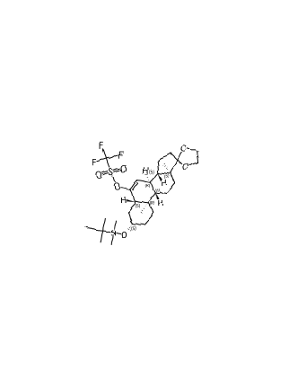 CC(C)(C)[Si](C)(C)O[C@H]1CC[C@@]2(C)[C@H](C1)C(OS(=O)(=O)C(F)(F)F)=C[C@@H]1[C@@H]2CC[C@@]2(C)[C@H]1CCC21OCCO1